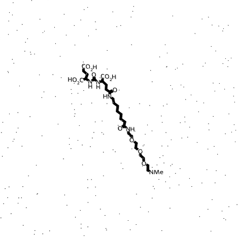 CNCCOCCOCCOCCNC(=O)CCCCCCCNC(=O)CCC(NC(=O)NC(CCC(=O)O)C(=O)O)C(=O)O